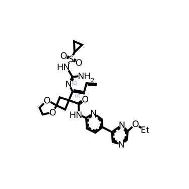 C=C/C=C(\N=C(/N)NS(=O)(=O)C1CC1)C1(C(=O)Nc2ccc(-c3cncc(OCC)n3)cn2)CC2(C1)OCCO2